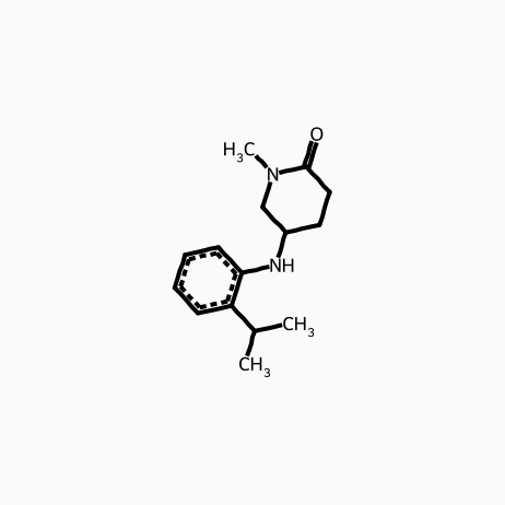 CC(C)c1ccccc1NC1CCC(=O)N(C)C1